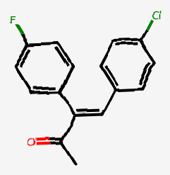 CC(=O)/C(=C/c1ccc(Cl)cc1)c1ccc(F)cc1